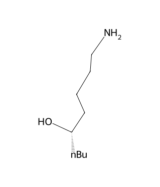 CCCC[C@H](O)CCCCN